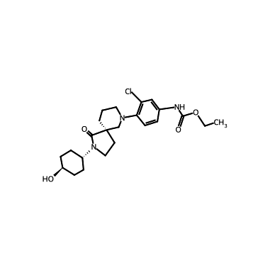 CCOC(=O)Nc1ccc(N2CCC[C@@]3(CCN([C@H]4CC[C@H](O)CC4)C3=O)C2)c(Cl)c1